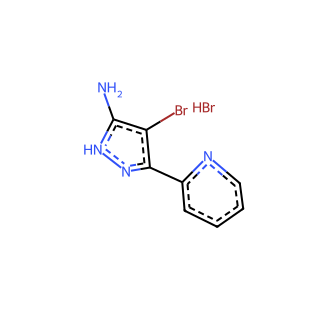 Br.Nc1[nH]nc(-c2ccccn2)c1Br